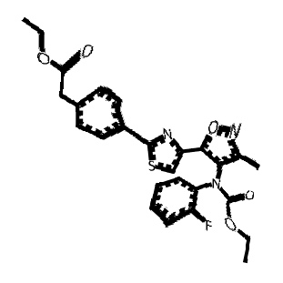 CCOC(=O)Cc1ccc(-c2nc(-c3onc(C)c3N(C(=O)OCC)c3ccccc3F)cs2)cc1